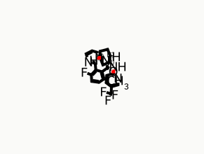 Cc1ccc(F)c(-c2ncccn2)c1C(=O)N1[C@@H]2CC[C@H]1[C@H](Nc1ccc(C(F)(F)F)cn1)C2